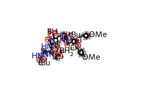 BOC(=O)C1=C(C[N+]2(CCN(C(=O)OC(C)(C)C)C(=O)c3ccc(OCc4ccc(OC)cc4)c(OCc4ccc(OC)cc4)c3Cl)CCCC2)C[S+]([O-])[C@@H]2[C@H](NC(=O)/C(=N\OC3(C(=O)OB)CC3)c3csc(NC(=O)OC(C)(C)C)n3)C(=O)N12